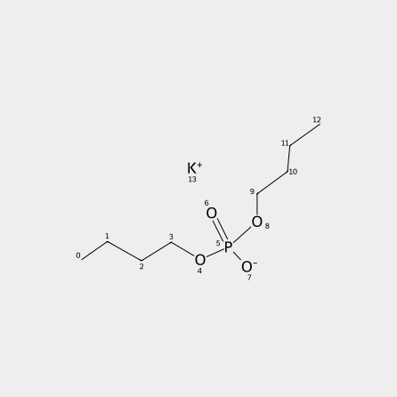 CCCCOP(=O)([O-])OCCCC.[K+]